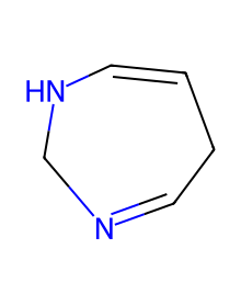 C1=CNCN=CC1